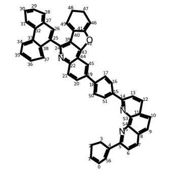 C1=CCCC(c2ccc3ccc4ccc(-c5ccc(-c6ccc7nc(-c8cc9ccccc9c9ccccc89)c8c9c(oc8c7c6)=CCCC=9)cc5)nc4c3n2)=C1